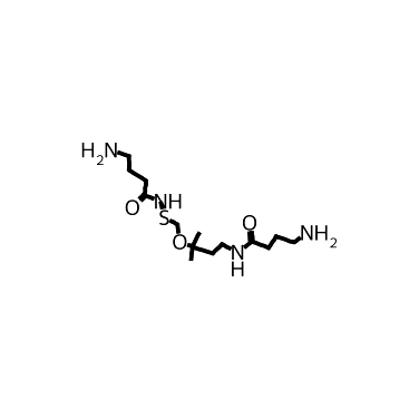 CC(C)(CCNC(=O)CCCN)OCSNC(=O)CCCN